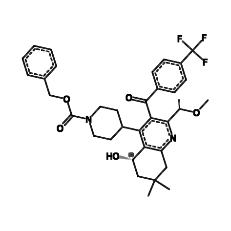 COC(C)c1nc2c(c(C3CCN(C(=O)OCc4ccccc4)CC3)c1C(=O)c1ccc(C(F)(F)F)cc1)[C@@H](O)CC(C)(C)C2